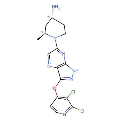 C[C@H]1C[C@H](N)CCN1c1cnc2c(Oc3ccnc(Cl)c3Cl)n[nH]c2n1